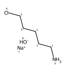 NCCCCCCl.[Na+].[OH-]